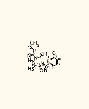 CCn1c(CSC)nnc1C(S)c1nc(-c2cccc(Cl)c2)no1